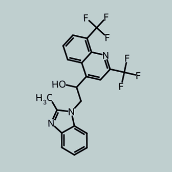 Cc1nc2ccccc2n1CC(O)c1cc(C(F)(F)F)nc2c(C(F)(F)F)cccc12